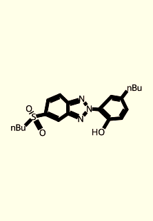 CCCCc1ccc(O)c(-n2nc3ccc(S(=O)(=O)CCCC)cc3n2)c1